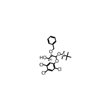 C[C@@H](O)[C@H](OCc1ccccc1)C(Oc1cc(Cl)c(Cl)cc1Cl)O[Si](C)(C)C(C)(C)C